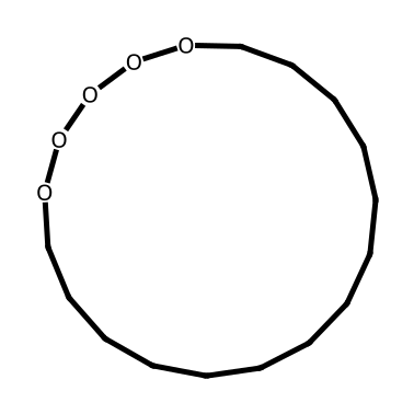 C1CCCCCCCOOOOOCCCCCC1